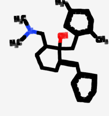 Cc1ccc(C)c(CC2(O)C(=Cc3ccccc3)CCCC2CN(C)C)c1